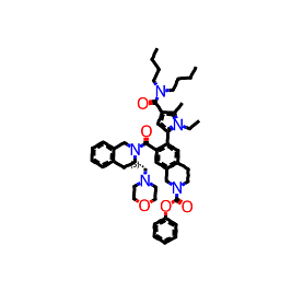 CCCCN(CCCC)C(=O)c1cc(-c2cc3c(cc2C(=O)N2Cc4ccccc4C[C@H]2CN2CCOCC2)CN(C(=O)Oc2ccccc2)CC3)n(CC)c1C